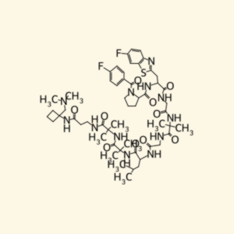 CC(C)CC(NC(=O)CNC(=O)C(C)(C)NC(=O)CNC(=O)C(Cc1nc2ccc(F)cc2s1)NC(=O)C1CCCN1C(=O)c1ccc(F)cc1)C(=O)NC(C)(C)C(=O)NC(C)(C)C(=O)NCCC(=O)NC1(CN(C)C)CCC1